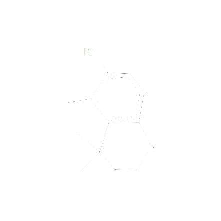 Cc1c(Br)ccc2c1C(C)(C)CCS2